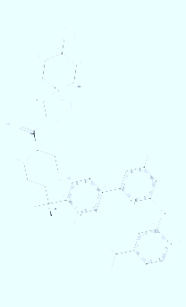 Cc1cc(Nc2cc(C(F)F)ccn2)nc(-c2ccc([C@](C)(O)[C@H]3CC[C@H](C(=O)OC[N+]4(C)CCC(O)CC4)CC3)nc2)c1